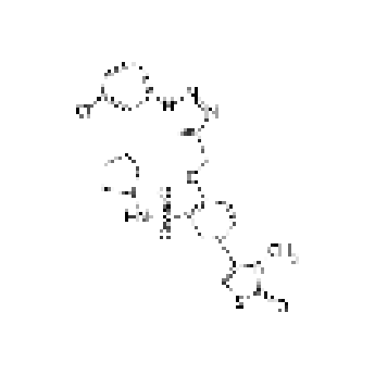 Cn1c(-c2ccc(OCc3cn(-c4cccc(Cl)c4)nn3)c(S(=O)(=O)NC3CCCC3)c2)csc1=O